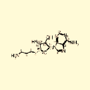 NCCCC[C@H]1O[C@@H](n2cnc3c(N)ncnc32)[C@H](O)[C@@H]1S